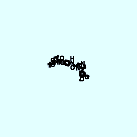 COc1ccc(-c2ccnc3cc(C(=O)Nc4ccc(OC(=O)[C@@H](NC(=O)OC(C)(C)C)C(C)C)cc4)nn23)cc1OC